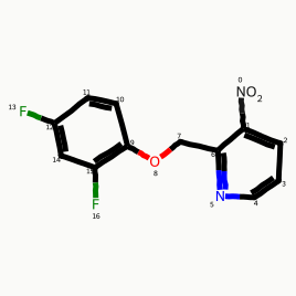 O=[N+]([O-])c1cccnc1COc1ccc(F)cc1F